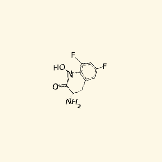 N[C@H]1Cc2cc(F)cc(F)c2N(O)C1=O